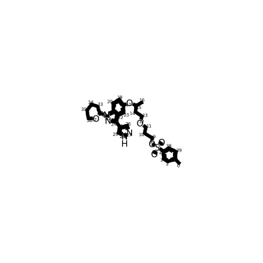 Cc1ccc(S(=O)(=O)OCCCOCCC(C)Oc2ccc3c(c2)c(-c2cn[nH]c2)nn3C2CCCCO2)cc1